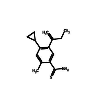 C=C(CC)c1cc(C(N)=S)c(C)cc1C1CC1